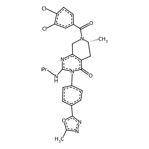 Cc1nnc(-c2ccc(-n3c(NC(C)C)nc4c(c3=O)C[C@@H](C)N(C(=O)c3ccc(Cl)c(Cl)c3)C4)cc2)o1